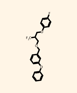 Fc1ccc(OCC(COCc2cccc(Oc3ccccc3)c2)C(F)(F)F)cc1